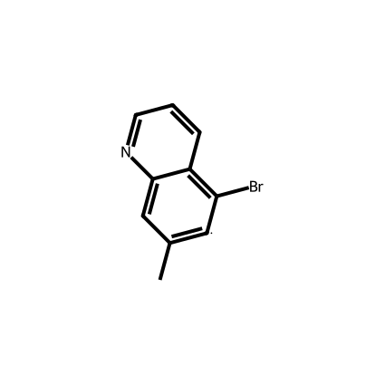 Cc1[c]c(Br)c2cccnc2c1